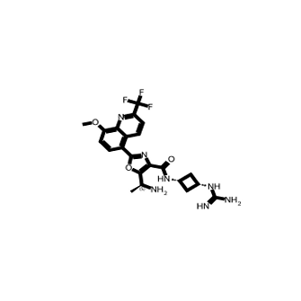 COc1ccc(-c2nc(C(=O)N[C@H]3C[C@@H](NC(=N)N)C3)c([C@H](C)N)o2)c2ccc(C(F)(F)F)nc12